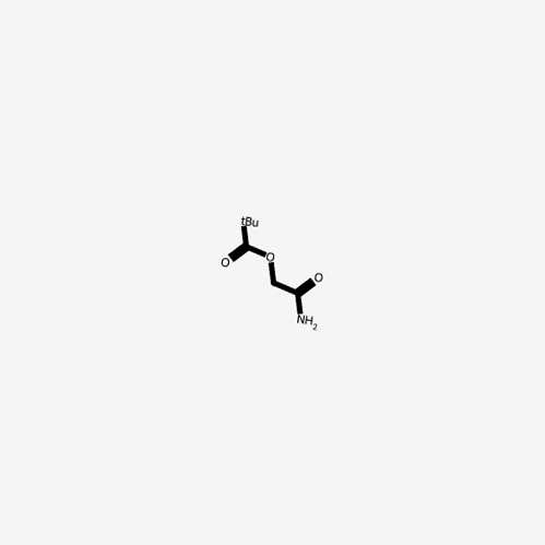 CC(C)(C)C(=O)OCC(N)=O